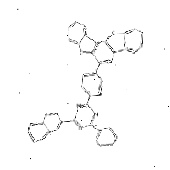 c1ccc(-c2nc(-c3ccc(-c4cc5c6ccccc6sc5c5c4oc4ccccc45)cc3)nc(-c3ccc4ccccc4c3)n2)cc1